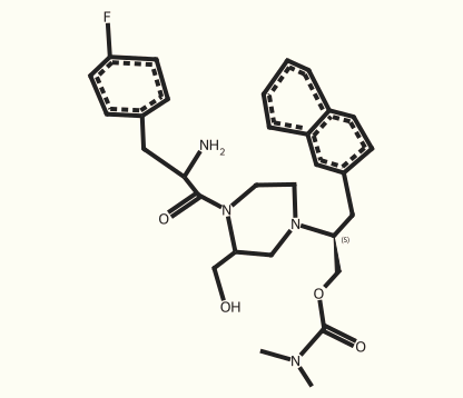 CN(C)C(=O)OC[C@H](Cc1ccc2ccccc2c1)N1CCN(C(=O)C(N)Cc2ccc(F)cc2)C(CO)C1